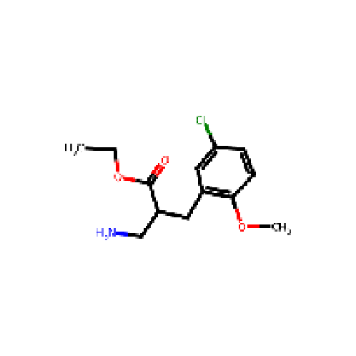 CCOC(=O)C(CN)Cc1cc(Cl)ccc1OC